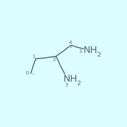 [CH2]CC(N)[CH]N